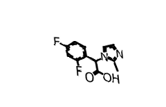 Cc1nccn1C(C(=O)O)c1ccc(F)cc1F